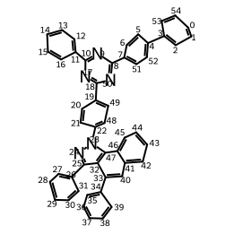 c1ccc(-c2ccc(-c3nc(-c4ccccc4)nc(-c4ccc(-n5nc(-c6ccccc6)c6c(-c7ccccc7)cc7ccccc7c65)cc4)n3)cc2)cc1